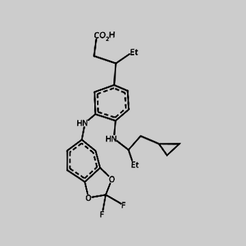 CCC(CC1CC1)Nc1ccc(C(CC)CC(=O)O)cc1Nc1ccc2c(c1)OC(F)(F)O2